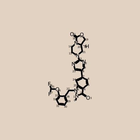 Cn1c(=O)c2ccc(-c3cnc(N4CCN5C(=O)OC[C@H]5C4)nc3)cc2n1Cc1ccccc1OC(F)F